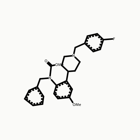 COC(=O)N(Cc1ccccc1)c1ccc(OC)cc1C1CCN(Cc2ccc(F)cc2)CC1